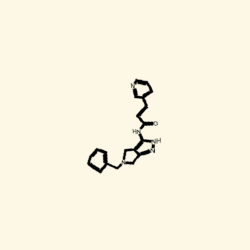 O=C(/C=C/c1cccnc1)Nc1[nH]nc2c1CN(Cc1ccccc1)C2